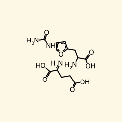 NC(CCC(=O)O)C(=O)O.NC(Cc1ccco1)C(=O)O.NC(N)=O